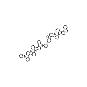 c1ccc(-n2c3ccccc3c3c4c5cccc6c5n(c4ccc32)c2cccc3c4c5c7ccccc7n(-c7cccc(-c8ccc9c(c8)oc8ccc%10c(c%11cccc%12c%11n%10c%10cccc%11c%13c%14c(ccc%13n%12c%11%10)oc%10ccccc%10%14)c89)c7)c5ccc4n6c32)cc1